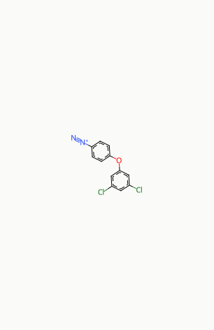 N#[N+]c1ccc(Oc2cc(Cl)cc(Cl)c2)cc1